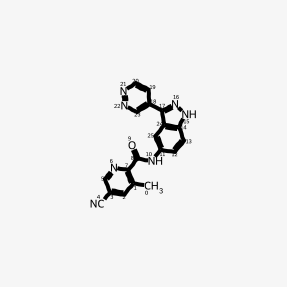 Cc1cc(C#N)cnc1C(=O)Nc1ccc2[nH]nc(-c3ccnnc3)c2c1